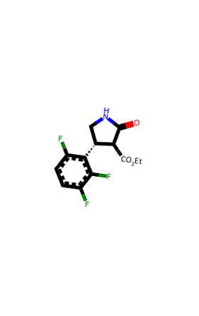 CCOC(=O)C1C(=O)NC[C@H]1c1c(F)ccc(F)c1F